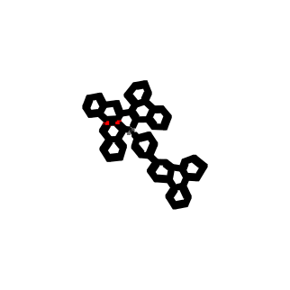 c1ccc2cc(-c3c(N(c4ccc(-c5ccc6c7ccccc7c7ccccc7c6c5)cc4)c4cccc5ccccc45)c4ccccc4c4ccccc34)ccc2c1